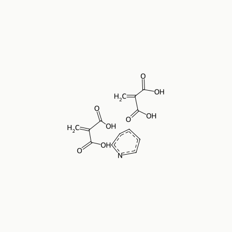 C=C(C(=O)O)C(=O)O.C=C(C(=O)O)C(=O)O.c1ccncc1